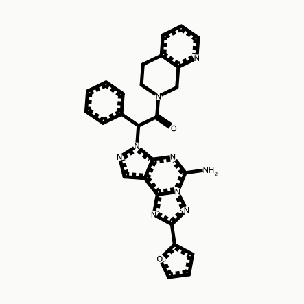 Nc1nc2c(cnn2C(C(=O)N2CCc3cccnc3C2)c2ccccc2)c2nc(-c3ccco3)nn12